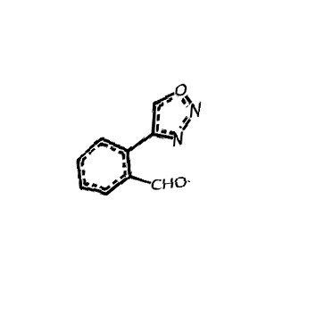 O=[C]c1ccccc1-c1conn1